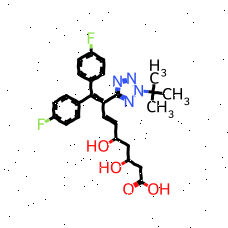 CC(C)(C)n1nnc(C(/C=C/C(O)CC(O)CC(=O)O)=C(c2ccc(F)cc2)c2ccc(F)cc2)n1